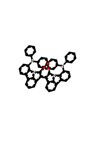 c1ccc(N(c2ccccc2)c2cccc3c4cccc5c6c7c8cccc9c%10cccc(N(c%11ccccc%11)c%11ccccc%11)c%10n(c7ncc6n(c23)c45)c98)cc1